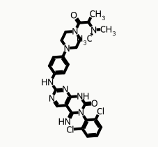 CC(C(=O)N1CCN(c2ccc(Nc3ncc4c(=N)n(-c5c(Cl)cccc5Cl)c(=O)[nH]c4n3)cc2)CC1)N(C)C